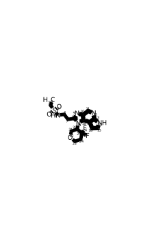 CCS(=O)(=O)NCCc1nc2cnc3[nH]ccc3c2n1C1COCCC1(F)F